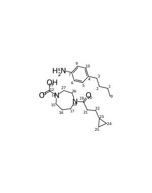 CCCCc1ccc(N)cc1.O=C(O)N1CCCN(C(=O)CCC2CC2)CC1